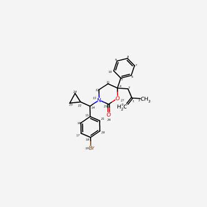 C=C(C)CC1(c2ccccc2)CCN(C(c2ccc(Br)cc2)C2CC2)C(=O)O1